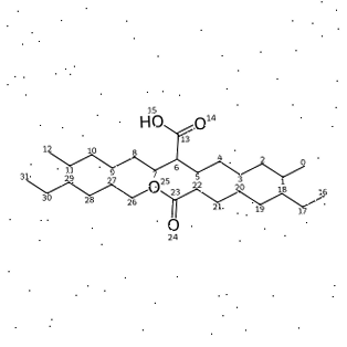 CCCCCCC(CCCCCC)C(=O)O.CCCCCCCC(=O)OCCCCCC